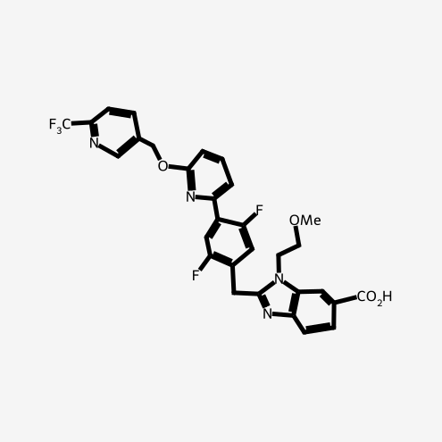 COCCn1c(Cc2cc(F)c(-c3cccc(OCc4ccc(C(F)(F)F)nc4)n3)cc2F)nc2ccc(C(=O)O)cc21